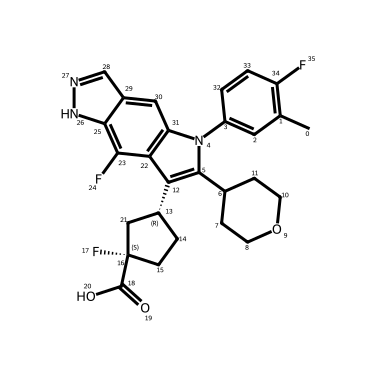 Cc1cc(-n2c(C3CCOCC3)c([C@@H]3CC[C@@](F)(C(=O)O)C3)c3c(F)c4[nH]ncc4cc32)ccc1F